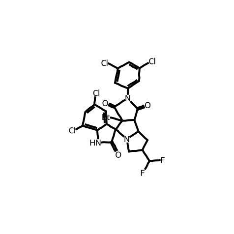 CCC12C(=O)N(c3cc(Cl)cc(Cl)c3)C(=O)C1C1CC(C(F)F)CN1C21C(=O)Nc2c(Cl)cc(Cl)cc21